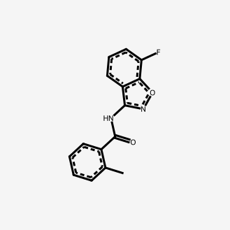 Cc1ccccc1C(=O)Nc1noc2c(F)cccc12